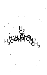 COC(=O)c1ccc(-c2nc(C)cc(Nc3cc(C)[nH]n3)n2)o1